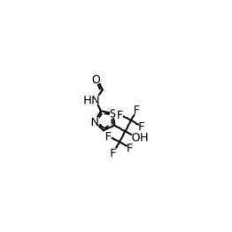 O=CNc1ncc(C(O)(C(F)(F)F)C(F)(F)F)s1